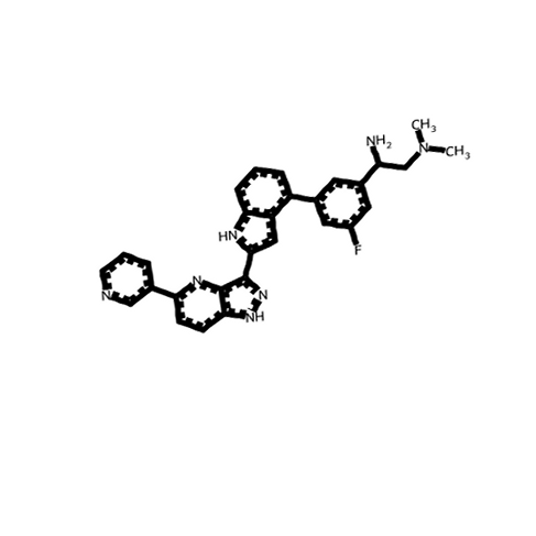 CN(C)CC(N)c1cc(F)cc(-c2cccc3[nH]c(-c4n[nH]c5ccc(-c6cccnc6)nc45)cc23)c1